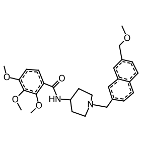 COCc1ccc2ccc(CN3CCC(NC(=O)c4ccc(OC)c(OC)c4OC)CC3)cc2c1